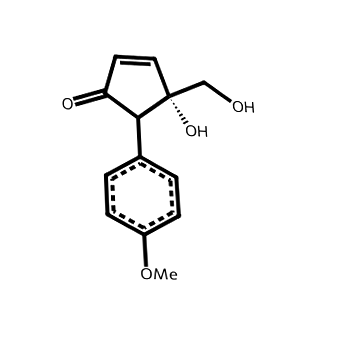 COc1ccc(C2C(=O)C=C[C@@]2(O)CO)cc1